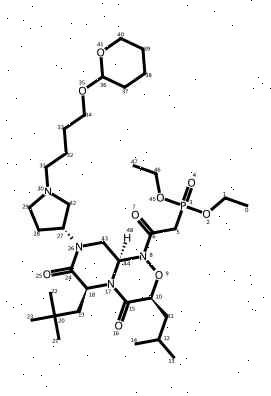 CCOP(=O)(CC(=O)N1O[C@@H](CC(C)C)C(=O)N2[C@@H](CC(C)(C)C)C(=O)N([C@@H]3CCN(CCCCOC4CCCCO4)C3)C[C@@H]12)OCC